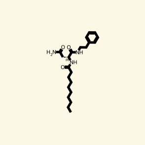 CCCCCCCCCC(=O)N[C@H](CC(N)=O)C(=O)NCCc1ccccc1